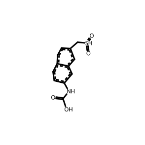 O=C(O)Nc1ccc2ccc(C[SH](=O)=O)cc2c1